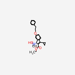 CCOC(=O)C1=C(C2CC2)c2ccc(OCCCc3ccccc3)cc2/C1=[N+](/C)O